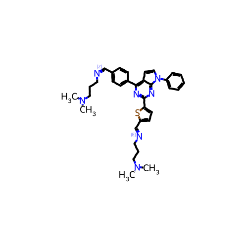 CN(C)CCC/N=C\c1ccc(-c2nc(-c3ccc(/C=N/CCCN(C)C)s3)nc3c2ccn3-c2ccccc2)cc1